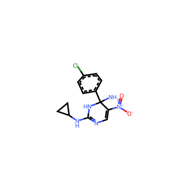 NC1(c2ccc(Cl)cc2)NC(NC2CC2)=NC=C1[N+](=O)[O-]